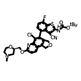 CN1CCO[C@@H](COc2ccc3c4c(c(-c5ccc(F)c6sc(NC(=O)OC(C)(C)C)c(C#N)c56)c(Cl)c3n2)COC4)C1